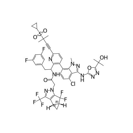 Cn1nc(Nc2nnc(C(C)(C)O)o2)c2c(Cl)ccc(-c3ccc(C#CC(C)(C)S(=O)(=O)C4CC4)nc3C(Cc3cc(F)cc(F)c3)NC(=O)Cn3nc(C(F)(F)F)c4c3C(F)(F)[C@@H]3C[C@H]43)c21